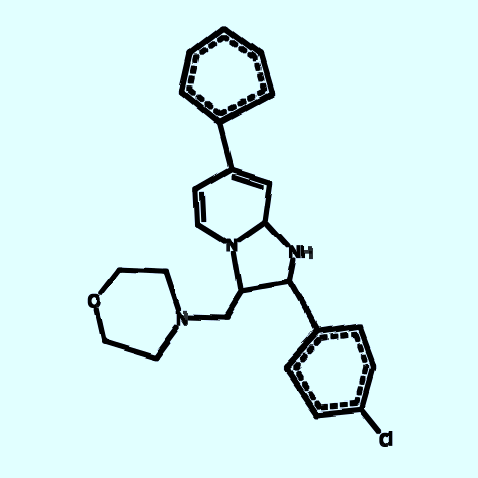 Clc1ccc(C2NC3C=C(c4ccccc4)C=CN3C2CN2CCOCC2)cc1